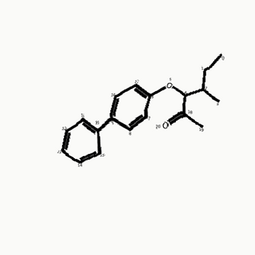 CCC(C)C(Oc1ccc(-c2ccccc2)cc1)C(C)=O